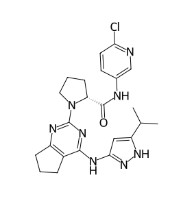 CC(C)c1cc(Nc2nc(N3CCC[C@@H]3C(=O)Nc3ccc(Cl)nc3)nc3c2CCC3)n[nH]1